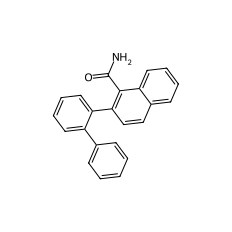 NC(=O)c1c(-c2ccccc2-c2ccccc2)ccc2ccccc12